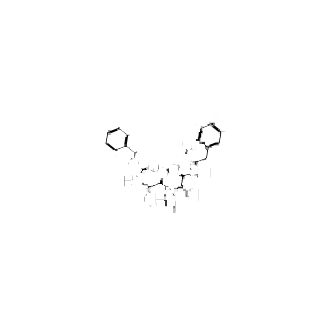 C[C@H](NC(=O)OCc1ccccc1)C(=O)N[C@@H](C)C(=O)N[C@H](CO)Cc1ccccc1